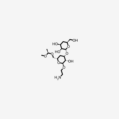 CO[C@@H](C)OC[C@@H]1C[C@H](O[C@H]2O[C@H](CO)C[C@H](O)[C@@H]2O)[C@H](O)[C@@H](OCCN)O1